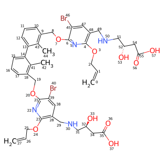 C=CCOc1nc(OCc2cccc(-c3cccc(COc4nc(OCC=C)c(CNC[C@@H](O)CC(=O)O)cc4Br)c3C)c2C)c(Br)cc1CNC[C@@H](O)CC(=O)O